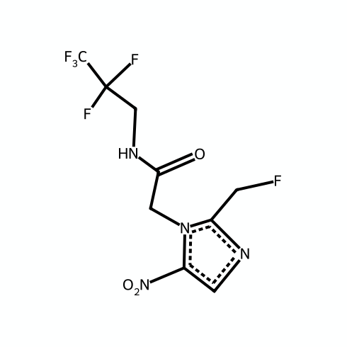 O=C(Cn1c([N+](=O)[O-])cnc1CF)NCC(F)(F)C(F)(F)F